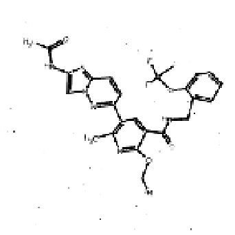 [2H]COc1nc(C)c(-c2ccc3nc(NC(C)=O)cn3n2)cc1C(=O)NCc1ccccc1OC(F)(F)F